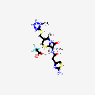 CO[C@@]1(NC(=O)Cc2csc(N)n2)C(=O)N2C(C(=O)O)=C(CSc3nnnn3C)CS[C@@H]21.O=C(O)C(F)(F)F